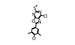 CSc1nc(Cl)c2nc(-c3cc(C)c([O])c(C)c3)oc2n1